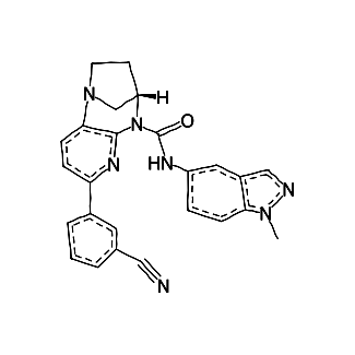 Cn1ncc2cc(NC(=O)N3c4nc(-c5cccc(C#N)c5)ccc4N4CC[C@H]3C4)ccc21